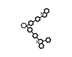 c1ccc(-c2cc(-c3ccc(-c4ccc(C5(c6ccc(-c7ccc(-c8ccc9ccccc9n8)cc7)cc6)CCCCC5)cc4)cc3)nc3ccccc23)cc1